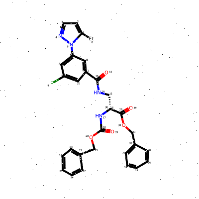 CCc1ccnn1-c1cc(F)cc(C(=O)NC[C@@H](NC(=O)OCc2ccccc2)C(=O)OCc2ccccc2)c1